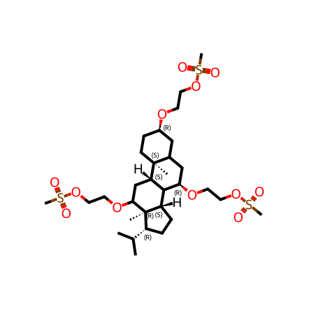 CC(C)[C@H]1CC[C@H]2C3[C@H](OCCOS(C)(=O)=O)CC4C[C@H](OCCOS(C)(=O)=O)CC[C@]4(C)[C@H]3CC(OCCOS(C)(=O)=O)[C@]12C